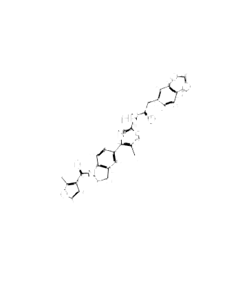 Cc1occc1C(=O)N1CCc2cc(-c3nc(NC(=O)Cc4ccc5c(c4)OCO5)sc3C)ccc21